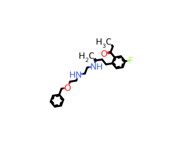 C=C(CCc1ccc(F)cc1C(=O)CC)NCCNCCOCc1ccccc1